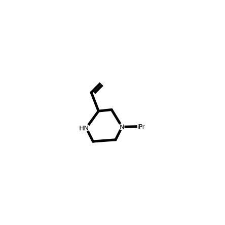 C=CC1CN(C(C)C)CCN1